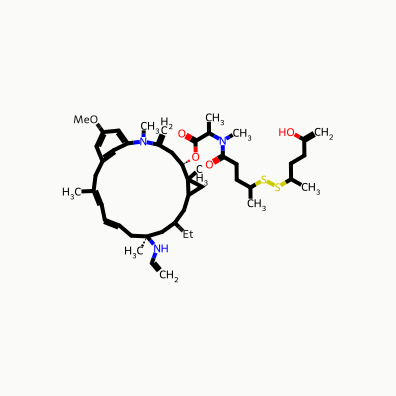 C=CN[C@@]1(C)C/C=C/C=C(\C)Cc2cc(OC)cc(c2)N(C)C(=C)C[C@H](OC(=O)C(C)N(C)C(=O)CCC(C)SSC(C)CCC(=C)O)C2(C)CC2CC(CC)C1